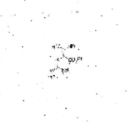 CCC/C=C(\N)S/C(C(=O)OCC)=C(\C)C(C)C